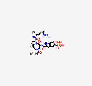 C=C(N)CC[C@H](NC(=O)[C@@H]1CC[C@@H]2CCN(C(=O)NC)C[C@H](NC(=O)c3cc4cc(C(=O)P(=O)(O)O)ccc4[nH]3)C(=O)N21)C(C)C